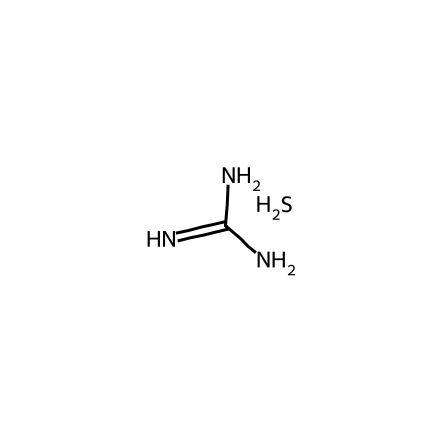 N=C(N)N.S